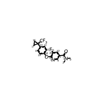 CN(C)C(=O)c1cnc(Oc2ccc(C3(C(F)(F)F)CC3)cc2)c(F)c1